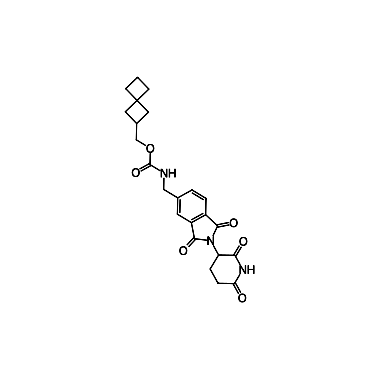 O=C1CCC(N2C(=O)c3ccc(CNC(=O)OCC4CC5(CCC5)C4)cc3C2=O)C(=O)N1